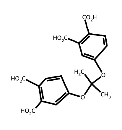 CC(C)(Oc1ccc(C(=O)O)c(C(=O)O)c1)Oc1ccc(C(=O)O)c(C(=O)O)c1